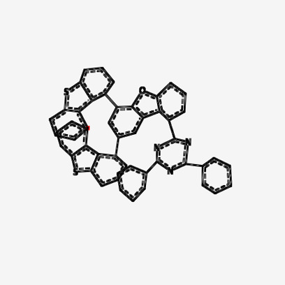 c1ccc(-c2nc(-c3ccccc3)nc(-c3cccc4oc5c(-c6cccc7sc8ccccc8c67)cc(-c6cccc7sc8ccccc8c67)cc5c34)n2)cc1